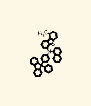 CC1CC=Cc2sc3c(N(c4ccc(C5(c6ccccc6)c6ccccc6-c6ccccc65)cc4)c4cccc5ccccc45)cccc3c21